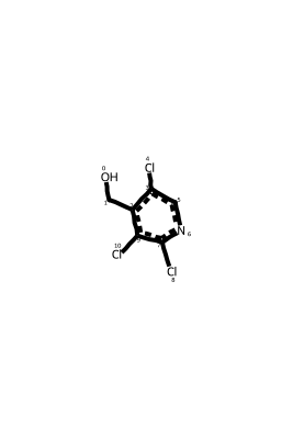 OCc1c(Cl)cnc(Cl)c1Cl